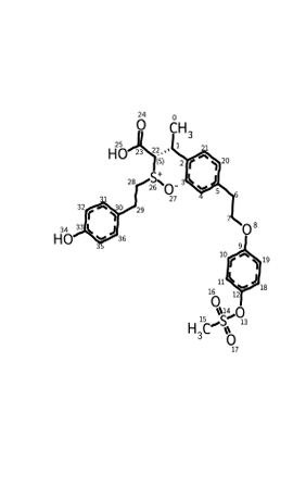 CC(c1ccc(CCOc2ccc(OS(C)(=O)=O)cc2)cc1)[C@@H](C(=O)O)[S+]([O-])CCc1ccc(O)cc1